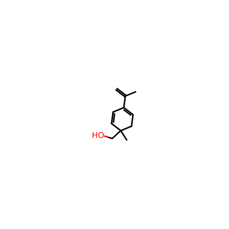 C=C(C)C1=CCC(C)(CO)C=C1